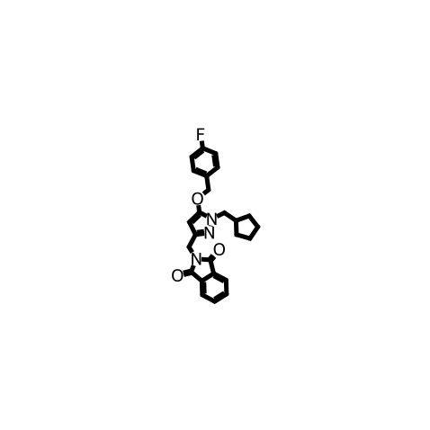 O=C1c2ccccc2C(=O)N1Cc1cc(OCc2ccc(F)cc2)n(CC2CCCC2)n1